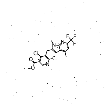 COC(=O)c1cnc(Cl)c(Cc2cc3c(C)cc(C(F)(F)F)nc3n2C)c1Cl